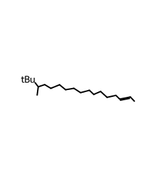 CC=CCCCCCCCCCCCC(C)C(C)(C)C